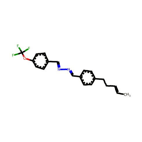 C/C=C/CCc1ccc(C=NN=Cc2ccc(OC(F)(F)F)cc2)cc1